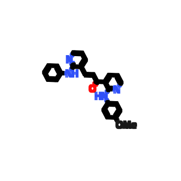 COc1ccc(Nc2ncccc2C(=O)/C=C/c2cccnc2Nc2ccccc2)cc1